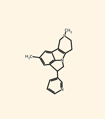 Cc1cc2c3c(c1)c1c(n3CC2c2cccnc2)CCN(C)C1